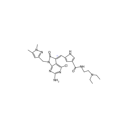 CCN(CC)CCNC(=O)c1c[nH]c(/C=C2/C(=O)N(Cc3cc(C)n(C)n3)c3nc(N)nc(Cl)c32)c1